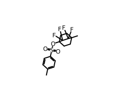 Cc1ccc(S(=O)(=O)OC23CCC(C)(CC2)C(F)(F)C3(F)F)cc1